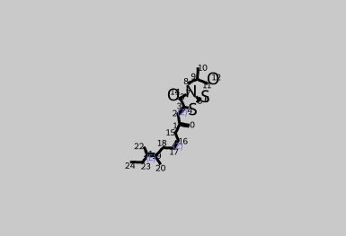 C=C(/C=C1\SC(=S)N(CC(C)C=O)C1=O)C/C=C\C/C(C)=C(\C)CC